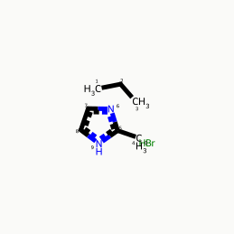 Br.CCC.Cc1ncc[nH]1